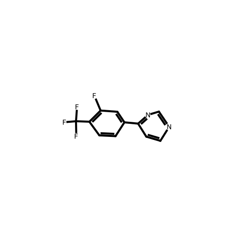 Fc1cc(-c2ccncn2)ccc1C(F)(F)F